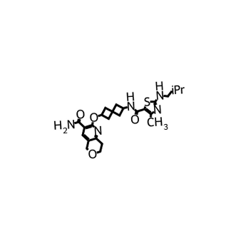 Cc1nc(NCC(C)C)sc1C(=O)NC1CC2(C1)CC(Oc1nc3c(cc1C(N)=O)COCC3)C2